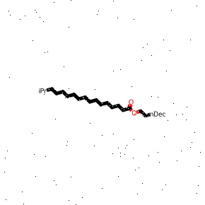 CCCCCCCCCCCCOC(=O)CCCCCCCCCCCCCCC(C)C